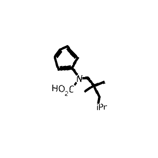 CC(C)CC(C)(C)CN(C(=O)O)c1ccccc1